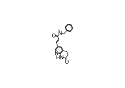 CN(Cc1ccccc1)C(=O)C=Cc1cnc2c(c1)CCC(=O)N2